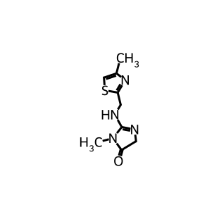 Cc1csc(CNC2=NCC(=O)N2C)n1